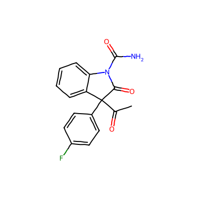 CC(=O)C1(c2ccc(F)cc2)C(=O)N(C(N)=O)c2ccccc21